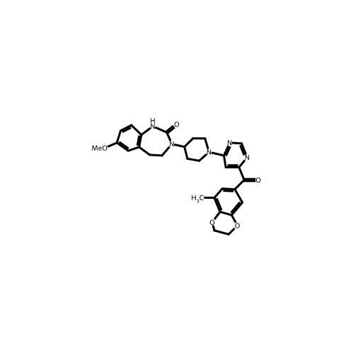 COc1ccc2c(c1)CCN(C1CCN(c3cc(C(=O)c4cc(C)c5c(c4)OCCO5)ncn3)CC1)C(=O)N2